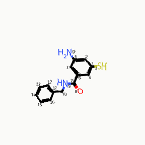 Nc1cc(S)cc(C(=O)NCc2ccccc2)c1